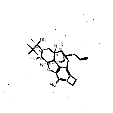 C=CCN1CC[C@]23c4c5c6c(c(O)c4O[C@H]2[C@@H](O)[C@@H]([C@](C)(O)C(C)(C)C)C[C@@H]3[C@H]1C5)CC6